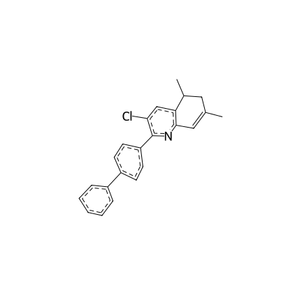 CC1=Cc2nc(-c3ccc(-c4ccccc4)cc3)c(Cl)cc2C(C)C1